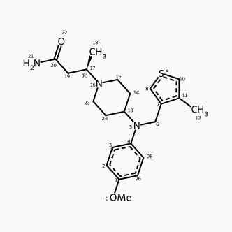 COc1ccc(N(Cc2cscc2C)C2CCN([C@H](C)CC(N)=O)CC2)cc1